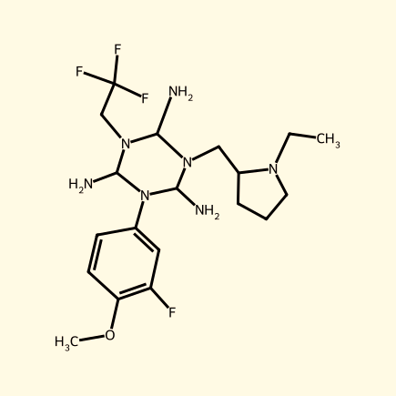 CCN1CCCC1CN1C(N)N(CC(F)(F)F)C(N)N(c2ccc(OC)c(F)c2)C1N